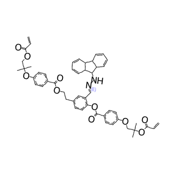 C=CC(=O)OCC(C)(C)Oc1ccc(C(=O)OCCc2ccc(OC(=O)c3ccc(OCC(C)(C)OC(=O)C=C)cc3)c(/C=N/NC3C4C=CC=CC4C4C=CC=CC43)c2)cc1